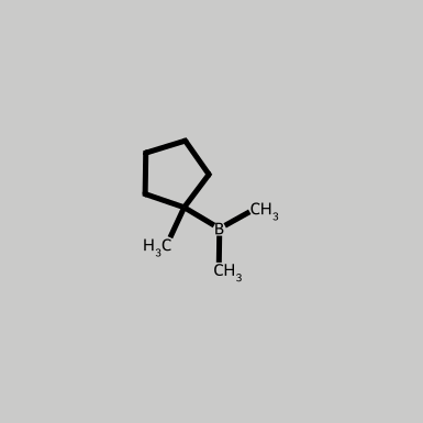 CB(C)C1(C)CCCC1